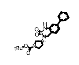 CC(C)(C)OC(=O)N1CC[C@@H](N2Cc3ccc(-c4ccccc4)cc3NS2(=O)=O)C1